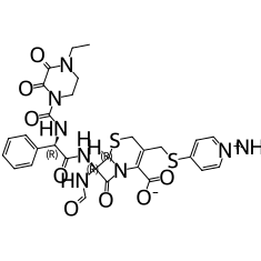 CCN1CCN(C(=O)N[C@@H](C(=O)N[C@]2(NC=O)C(=O)N3C(C(=O)[O-])=C(CSc4cc[n+](N)cc4)CS[C@@H]32)c2ccccc2)C(=O)C1=O